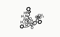 CC(C)(NC(=O)[C@@H](N)Cc1cc2ccccc2[nH]1)C(=O)N[C@H](COCc1ccccc1)C(=O)N1CCC2(CC1)CN(S(C)(=O)=O)c1ccccc12